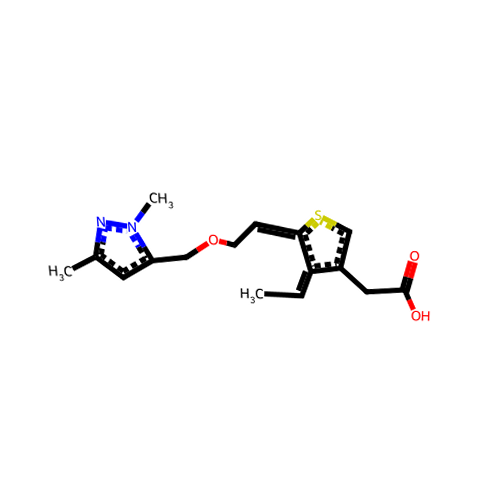 C/C=c1/c(CC(=O)O)cs/c1=C/COCc1cc(C)nn1C